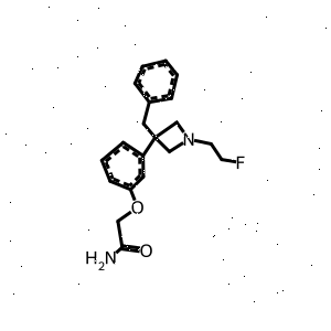 NC(=O)COc1cccc(C2(Cc3ccccc3)CN(CCF)C2)c1